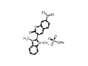 CCN(CC)c1ccc2cc(-c3n(C)c4ccccc4[n+]3C)c(=O)oc2c1.COS(=O)(=O)[O-]